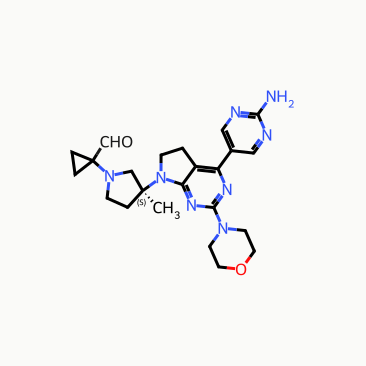 C[C@]1(N2CCc3c(-c4cnc(N)nc4)nc(N4CCOCC4)nc32)CCN(C2(C=O)CC2)C1